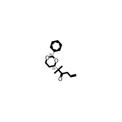 C=CCC(=O)C(C)(C)[C@@H]1CCO[C@H](c2ccccc2)O1